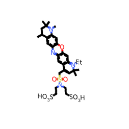 CC[N+]1=c2cc3c(cc2C(CS(=O)(=O)N(CCS(=O)(=O)O)CCS(=O)(=O)O)=CC1(C)C)=Nc1cc2c(cc1O3)N(C)C(C)(C)CC2C